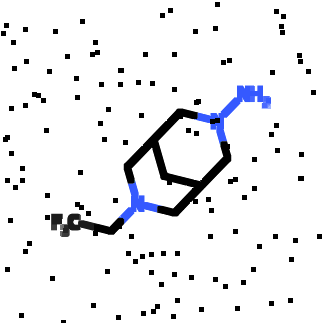 NN1CC2CC(C1)CN(CC(F)(F)F)C2